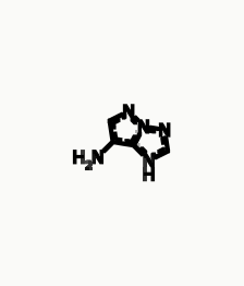 Nc1cnn2nc[nH]c12